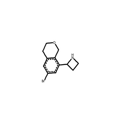 Brc1cc2c(c(C3CCN3)c1)COCC2